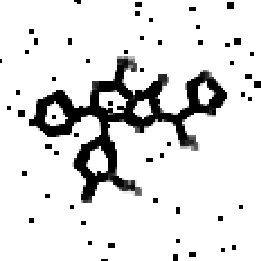 CC(c1cocn1)n1nc2c(-c3ccc(=O)n(C)c3)c(-c3ccccc3)nc(N)n2c1=O